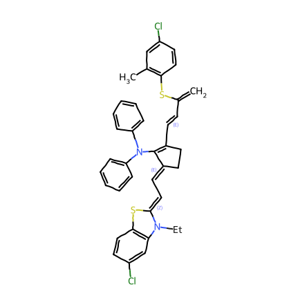 C=C(/C=C/C1=C(N(c2ccccc2)c2ccccc2)C(=C/C=C2\Sc3ccc(Cl)cc3N2CC)/CC1)Sc1ccc(Cl)cc1C